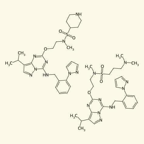 CC(C)c1cnn2c(NCc3ccccc3-n3cccn3)nc(OCCN(C)S(=O)(=O)C3CCNCC3)nc12.CC(C)c1cnn2c(NCc3ccccc3-n3cccn3)nc(OCCN(C)S(=O)(=O)CCCN(C)C)nc12